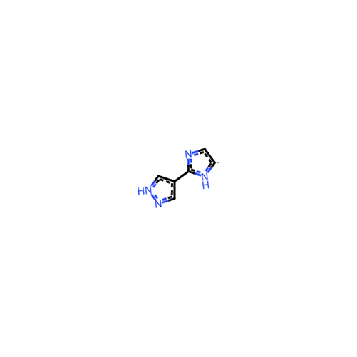 [c]1cnc(-c2cn[nH]c2)[nH]1